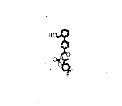 CC1N(CC(=O)c2ccc(-c3ccccc3CO)cc2)C(=O)OC12CCC(F)(F)CC2